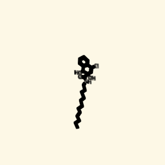 CCCCCCCCCCCCNC(=O)C1(O)C=C(Cl)c2ccccc2C1O